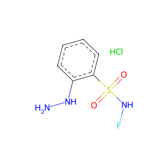 Cl.NNc1ccccc1S(=O)(=O)NF